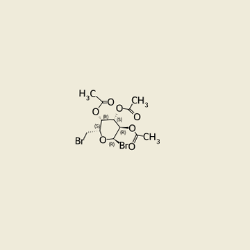 CC(=O)O[C@@H]1[C@@H](OC(C)=O)[C@@H](Br)O[C@H](CBr)[C@@H]1OC(C)=O